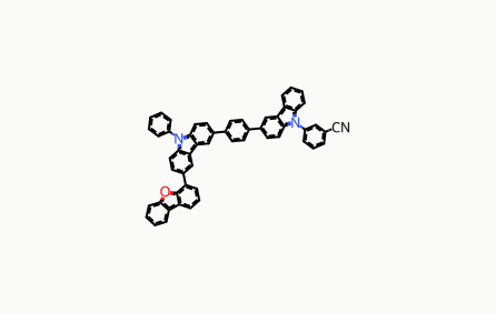 N#Cc1cccc(-n2c3ccccc3c3cc(-c4ccc(-c5ccc6c(c5)c5cc(-c7cccc8c7oc7ccccc78)ccc5n6-c5ccccc5)cc4)ccc32)c1